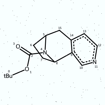 CC(C)(C)OC(=O)N1C2CCC1c1cnccc1C2